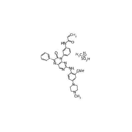 C=CC(=O)Nc1cccc(-n2c(=O)c(-c3ccccc3)nc3cnc(Nc4ccc(N5CCN(C)CC5)cc4OC)nc32)c1.CS(=O)(=O)O.O